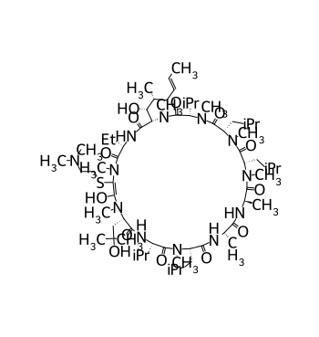 C/C=C/C[C@@H](C)[C@@H](O)[C@H]1C(=O)N[C@@H](CC)C(=O)N(C)/C(SCCN(C)C)=C(/O)N(C)[C@@H](CC(C)(C)O)C(=O)N[C@@H](C(C)C)C(=O)N(C)[C@@H](CC(C)C)C(=O)N[C@@H](C)C(=O)N[C@H](C)C(=O)N(C)[C@@H](CC(C)C)C(=O)N(C)[C@@H](CC(C)C)C(=O)N(C)[C@@H](C(C)C)C(=O)N1C